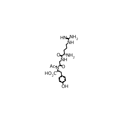 CC(=O)N(C(=O)CNC(=O)[C@@H](N)CCCNC(=N)N)[C@@H](Cc1ccc(O)cc1)C(=O)O